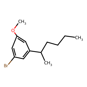 CCCCC(C)c1cc(Br)cc(OC)c1